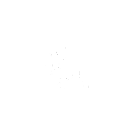 Cn1c(Br)nc2c1c(=O)n(Cc1c(Cl)c3ccccc3n1C(=O)OC(C)(C)C)c(=O)n2C